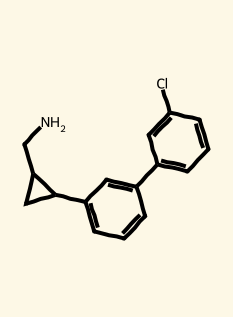 NCC1CC1c1cccc(-c2cccc(Cl)c2)c1